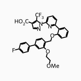 COCCOc1cc(-c2ccc(F)cc2)ccc1COc1ccccc1-c1cccc(-n2ncc(C(=O)O)c2C(F)(F)F)n1